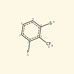 Fc1cccc([S])c1C(F)(F)F